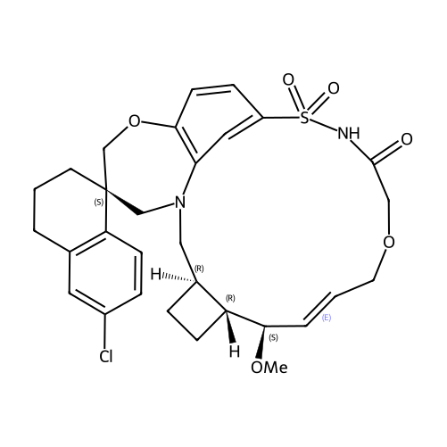 CO[C@@H]1/C=C/COCC(=O)NS(=O)(=O)c2ccc3c(c2)N(C[C@@H]2CC[C@H]21)C[C@@]1(CCCc2cc(Cl)ccc21)CO3